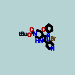 CC(C)(C)OC(=O)N1CC(=O)c2c([nH]c(-c3ccncc3Br)c2Nc2ccccc2)C1